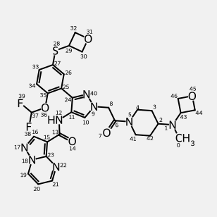 CN(C1CCN(C(=O)Cn2cc(NC(=O)c3cnn4cccnc34)c(-c3cc(SC4COC4)ccc3OC(F)F)n2)CC1)C1COC1